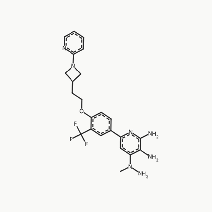 CN(N)c1cc(-c2ccc(OCCC3CN(c4ccccn4)C3)c(C(F)(F)F)c2)nc(N)c1N